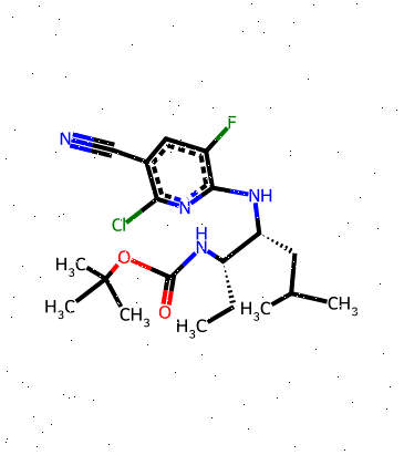 CC[C@H](NC(=O)OC(C)(C)C)[C@@H](CC(C)C)Nc1nc(Cl)c(C#N)cc1F